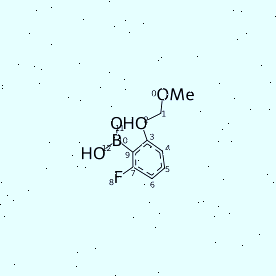 COCOc1cccc(F)c1B(O)O